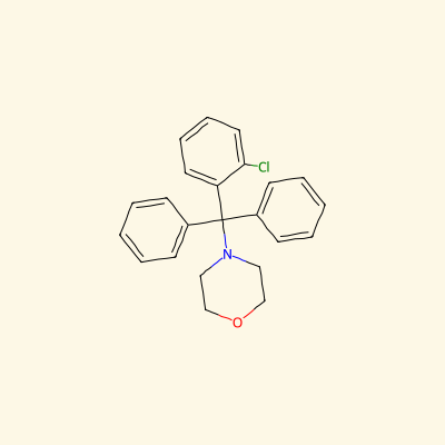 Clc1ccccc1C(c1ccccc1)(c1ccccc1)N1CCOCC1